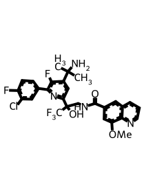 COc1cc(C(=O)NCC(O)(c2cc(C(C)(C)N)c(F)c(-c3ccc(F)c(Cl)c3)n2)C(F)(F)F)cc2cccnc12